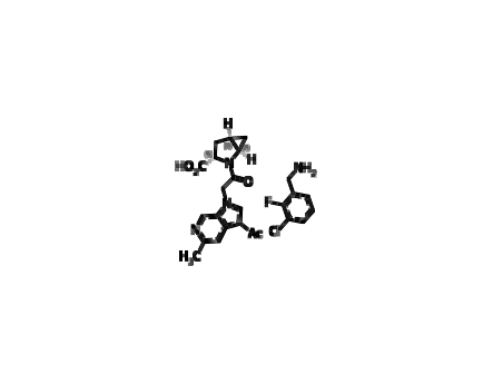 CC(=O)c1cn(CC(=O)N2[C@@H]3C[C@@H]3C[C@H]2C(=O)O)c2cnc(C)cc12.NCc1cccc(Cl)c1F